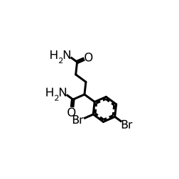 NC(=O)CCC(C(N)=O)c1ccc(Br)cc1Br